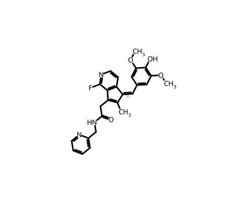 COc1cc(/C=C2/C(C)=C(CC(=O)NCc3ccccn3)c3c2ccnc3F)cc(OC)c1O